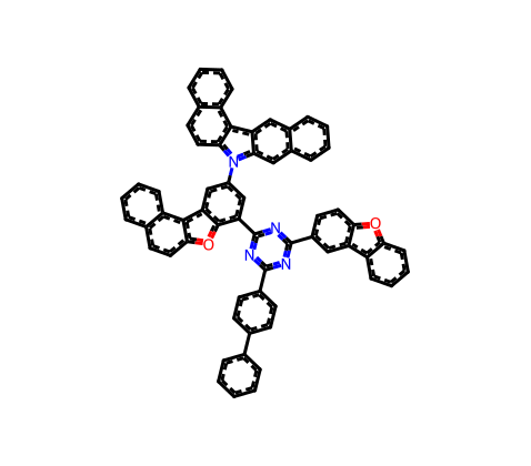 c1ccc(-c2ccc(-c3nc(-c4ccc5oc6ccccc6c5c4)nc(-c4cc(-n5c6cc7ccccc7cc6c6c7ccccc7ccc65)cc5c4oc4ccc6ccccc6c45)n3)cc2)cc1